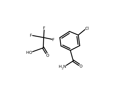 NC(=O)c1cccc(Cl)c1.O=C(O)C(F)(F)F